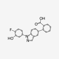 O=C(O)c1ccccc1-c1ccc2c(cnn2-c2ccc(F)c(O)c2)c1